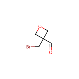 O=CC1(CBr)COC1